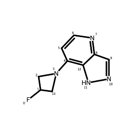 FC1CN(c2ccnc3cn[nH]c23)C1